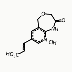 Cl.O=C(O)/C=C/c1cnc2c(c1)COCC(=O)N2